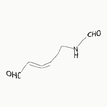 O=C/C=C/CNC=O